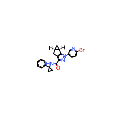 O=C(NC1(c2ccccc2)CC1)c1nn(-c2ccc(Br)nc2)c2c1C[C@H]1C[C@@H]21